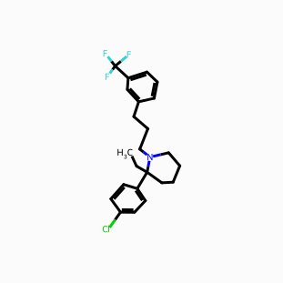 CCC1(c2ccc(Cl)cc2)CCCCN1CCCc1cccc(C(F)(F)F)c1